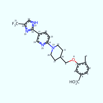 Cc1ccc(C(=O)O)cc1OCC1CCN(c2ccc(-c3nc(C(F)(F)F)c[nH]3)cn2)CC1